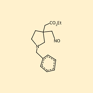 CCOC(=O)CC1(CN=O)CCN(Cc2ccccc2)C1